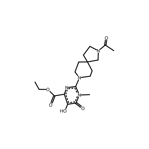 CCOC(=O)c1nc(N2CCC3(CCN(C(C)=O)C3)CC2)n(C)c(=O)c1O